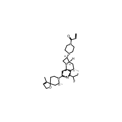 C=CC(=O)N1CCN([C@@H]2CN3c4cc(N5CCC6(C[C@H]5C)OCC=C6C)nc(C(F)F)c4[C@@H](C)C[C@@H]23)CC1